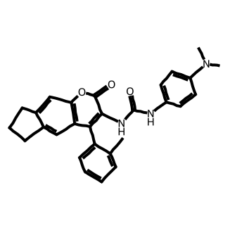 Cc1ccccc1-c1c(NC(=O)Nc2ccc(N(C)C)cc2)c(=O)oc2cc3c(cc12)CCC3